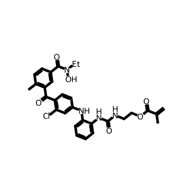 C=C(C)C(=O)OCCNC(=O)Nc1ccccc1Nc1ccc(C(=O)c2cc(C(=O)N(O)CC)ccc2C)c(Cl)c1